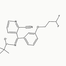 CC(C)(C)[S+]([O-])N=C(c1cccc(OCCC(F)F)c1)c1cccnc1C#N